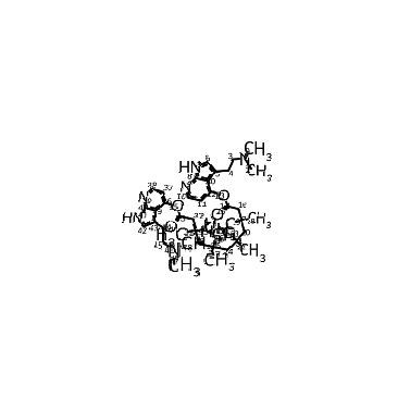 CN(C)CCc1c[nH]c2nccc(OC(=O)CC(C)(C)CC(C)(C)CC(C)(C)CC(C)(C)CC(=O)Oc3ccnc4[nH]cc(CCN(C)C)c34)c12